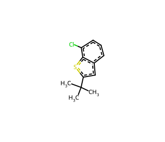 CC(C)(C)c1cc2cccc(Cl)c2s1